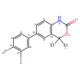 CCC1(CC)OC(=O)Nc2ccc(-c3ccc(F)c(I)c3)cc21